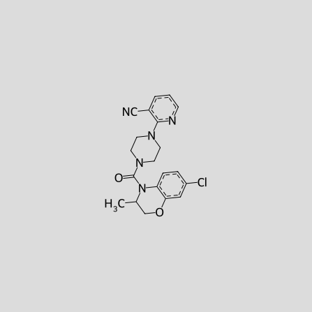 CC1COc2cc(Cl)ccc2N1C(=O)N1CCN(c2ncccc2C#N)CC1